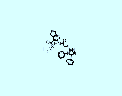 NOC(=O)c1c(NC(=O)CSc2nnc(-c3ccco3)n2-c2ccccc2)sc2c1CCC2